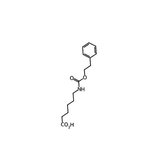 O=C(O)CCCCCNC(=O)OCCc1ccccc1